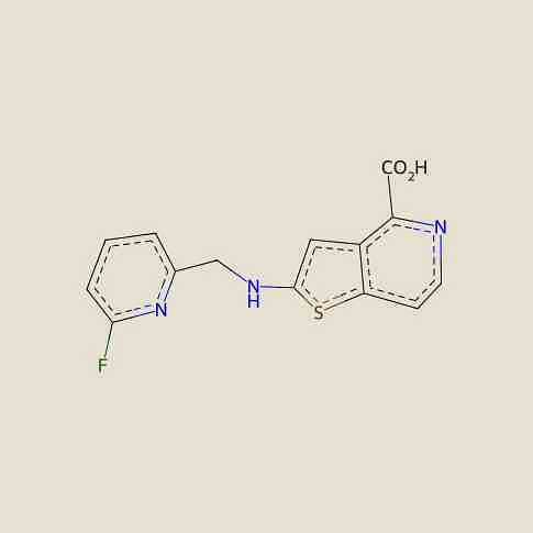 O=C(O)c1nccc2sc(NCc3cccc(F)n3)cc12